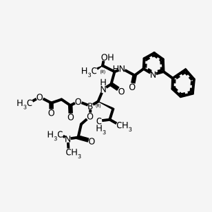 COC(=O)CC(=O)OB(OCC(=O)N(C)C)[C@H](CC(C)C)NC(=O)C(NC(=O)c1cccc(-c2ccccc2)n1)[C@@H](C)O